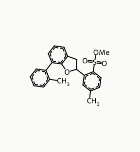 COS(=O)(=O)c1ccc(C)cc1C1Cc2cccc(-c3ccccc3C)c2O1